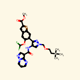 COC(=O)c1cc2cc(OC(F)F)c(-c3nn(COCC[Si](C)(C)C)cc3NC(=O)c3cnn4cccnc34)cc2s1